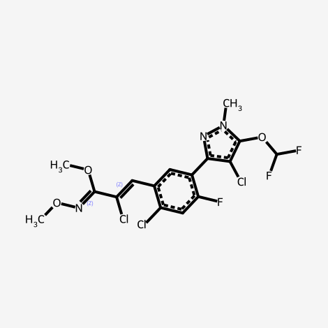 CO/N=C(OC)/C(Cl)=C/c1cc(-c2nn(C)c(OC(F)F)c2Cl)c(F)cc1Cl